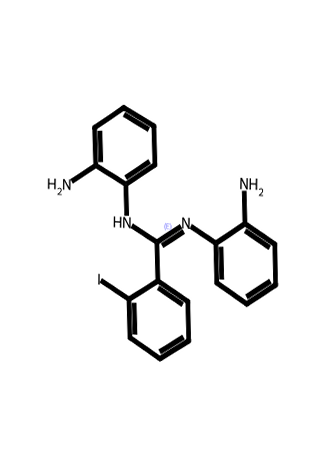 Nc1ccccc1/N=C(/Nc1ccccc1N)c1ccccc1I